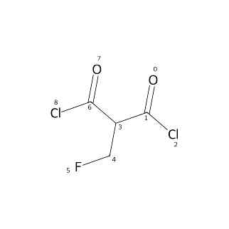 O=C(Cl)C(CF)C(=O)Cl